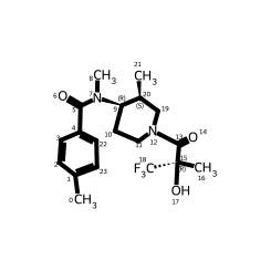 Cc1ccc(C(=O)N(C)[C@@H]2CCN(C(=O)[C@@](C)(O)C(F)(F)F)C[C@@H]2C)cc1